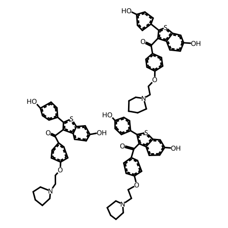 O=C(c1ccc(OCCN2CCCCC2)cc1)c1c(-c2ccc(O)cc2)sc2cc(O)ccc12.O=C(c1ccc(OCCN2CCCCC2)cc1)c1c(-c2ccc(O)cc2)sc2cc(O)ccc12.O=C(c1ccc(OCCN2CCCCC2)cc1)c1c(-c2ccc(O)cc2)sc2cc(O)ccc12